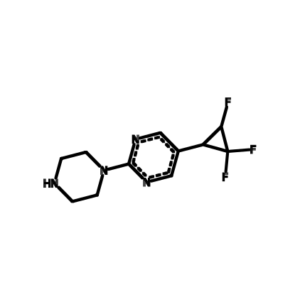 FC1C(c2cnc(N3CCNCC3)nc2)C1(F)F